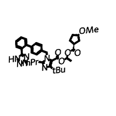 CCCc1nc(C(C)(C)C)c(C(=O)OC(C)OC(=O)[C@H]2CC[C@@H](OC)C2)n1Cc1ccc(-c2ccccc2-c2nnn[nH]2)cc1